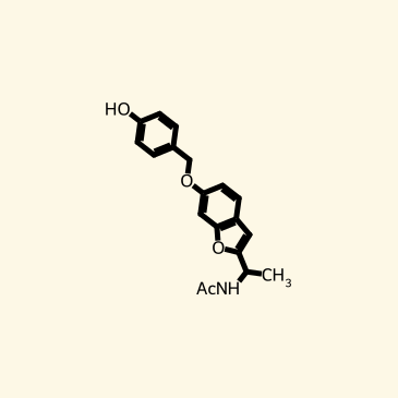 CC(=O)NC(C)c1cc2ccc(OCc3ccc(O)cc3)cc2o1